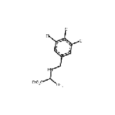 CCOC(=O)C(C)NCc1cc(Cl)c(Cl)c(Cl)c1